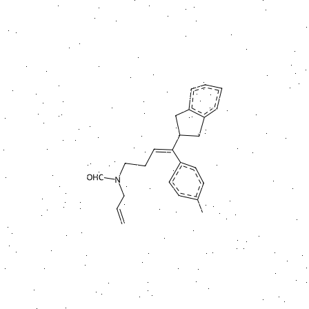 C=CCN(C=O)CCC=C(c1ccc(C)cc1)C1Cc2ccccc2C1